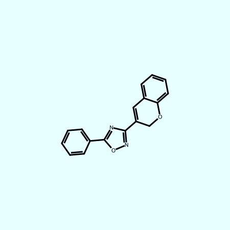 C1=C(c2noc(-c3ccccc3)n2)COc2ccccc21